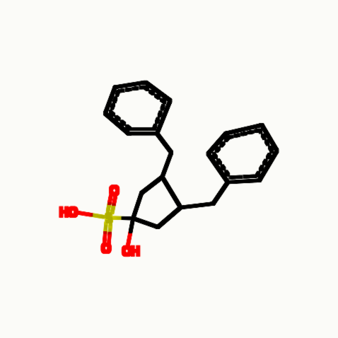 O=S(=O)(O)C1(O)CC(Cc2ccccc2)C(Cc2ccccc2)C1